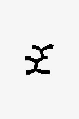 CCC(OC)P(O)NN(C(C)C)C(C)C